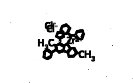 Cc1ccc2c(c1)[CH]([Zr+2]=[C](c1ccccc1)c1ccccc1)c1c-2cc(-c2ccccc2)c(C)c1C1=CC=CC1.[Cl-].[Cl-]